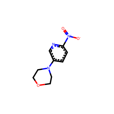 O=[N+]([O-])c1ccc(N2CCOCC2)cn1